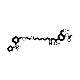 CC(=O)Oc1ccc([C@@H](O)CNCCCCCCOCCOCc2cccc([S+]([O-])C3CCCC3)c2)cc1CO